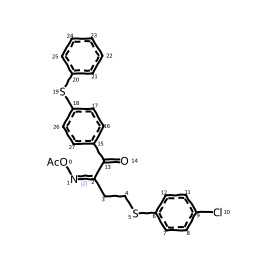 CC(=O)O/N=C(/CCSc1ccc(Cl)cc1)C(=O)c1ccc(Sc2ccccc2)cc1